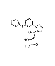 O=C(O)C(O)=CC(=O)c1cccn1-c1cccc(Sc2ccccc2)c1